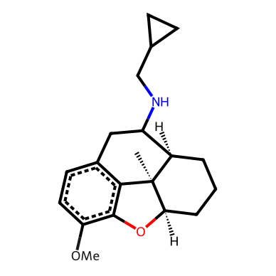 COc1ccc2c3c1O[C@@H]1CCC[C@H](C(NCC4CC4)C2)[C@]31C